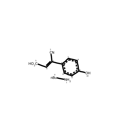 CCCCN.N#CC(=CC(=O)O)c1ccc(O)cc1